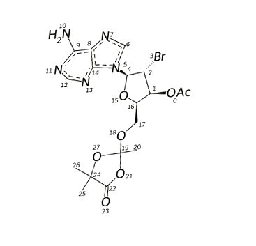 CC(=O)O[C@@H]1[C@@H](Br)[C@H](n2cnc3c(N)ncnc32)O[C@@H]1COC1(C)OC(=O)C(C)(C)O1